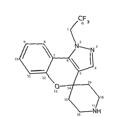 FC(F)(F)Cn1ncc2c1-c1ccccc1OC21CCNCC1